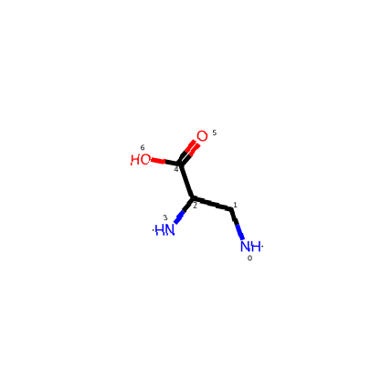 [NH]CC([NH])C(=O)O